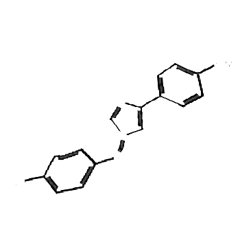 COc1ccc(C2=CS(=Nc3ccc(C(F)(F)F)cc3)C=N2)cc1